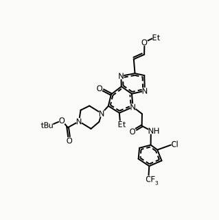 CCO/C=C/c1cnc2c(n1)c(=O)c(N1CCN(C(=O)OC(C)(C)C)CC1)c(CC)n2CC(=O)Nc1ccc(C(F)(F)F)cc1Cl